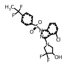 CC(F)(F)c1ccc(S(=O)(=O)n2nc(N3CC(O)C(F)(F)C3)c3c(Cl)cccc32)cc1